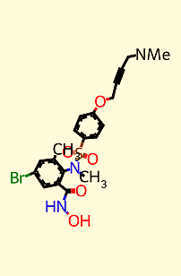 CNCC#CCOc1ccc(S(=O)(=O)N(C)c2c(C)cc(Br)cc2C(=O)NO)cc1